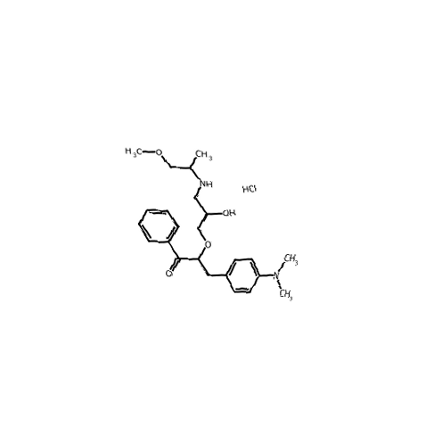 COCC(C)NCC(O)COC(Cc1ccc(N(C)C)cc1)C(=O)c1ccccc1.Cl